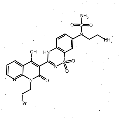 CC(C)CCn1c(=O)c(C2=NS(=O)(=O)c3cc(N(CCN)S(N)(=O)=O)ccc3N2)c(O)c2cccnc21